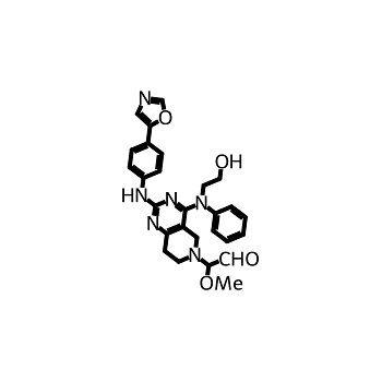 COC(C=O)N1CCc2nc(Nc3ccc(-c4cnco4)cc3)nc(N(CCO)c3ccccc3)c2C1